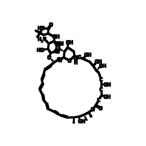 C[C@@H]1[C@H](O)[C@@H](C)/C=C/C=C/C=C/C=C/C=C/C=C/C=C/[C@H](O[C@@H]2O[C@H](C)[C@@H](O)[C@H](N)[C@@H]2O)C[C@@H]2O[C@](O)(C[C@@H](O)C[C@@H](O)[C@H](O)CC[C@@H](O)C[C@@H](O)CC(=O)O[C@H]1C)C[C@H](O)[C@H]2C(=O)NCCC1CC(C)(C)NC1=O